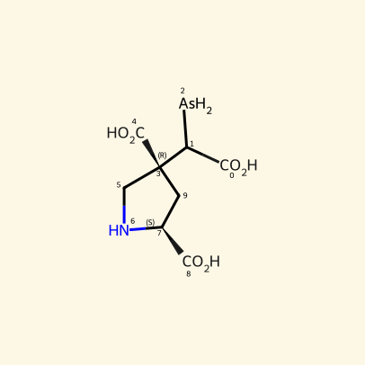 O=C(O)C([AsH2])[C@@]1(C(=O)O)CN[C@H](C(=O)O)C1